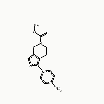 CC(C)(C)OC(=O)N1CCc2c(cnn2-c2ccc([N+](=O)[O-])cc2)C1